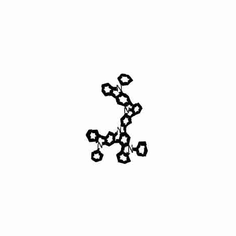 c1ccc(-n2c3ccccc3c3cc4c(cc32)c2cccc3c5cc6c7cc8c(c9ccccc9n8-c8ccccc8)c8c9cc%10c(cc9n(c6cc5n4c23)c78)c2ccccc2n%10-c2ccccc2)cc1